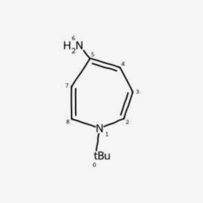 CC(C)(C)N1C=CC=C(N)C=C1